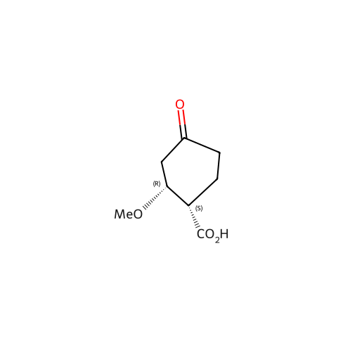 CO[C@@H]1CC(=O)CC[C@@H]1C(=O)O